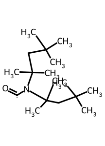 CC(C)(C)CC(C)(C)N([C]=O)C(C)(C)CC(C)(C)C